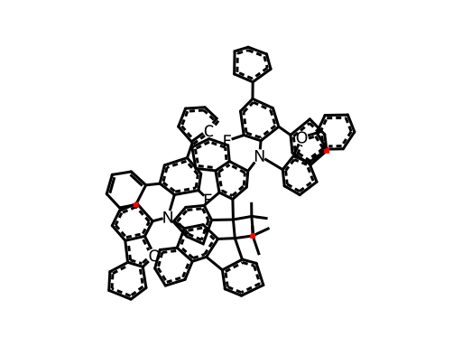 CC(C)(C)C1(C2(C(C)(C)C)c3ccccc3-c3c2cc(N(c2c(F)cc(-c4ccccc4)cc2-c2ccccc2)c2cccc4c2oc2ccccc24)c2ccccc32)c2ccccc2-c2c1cc(N(c1c(F)cc(-c3ccccc3)cc1C1=CC=CCC1)c1cccc3c1oc1ccccc13)c1ccccc21